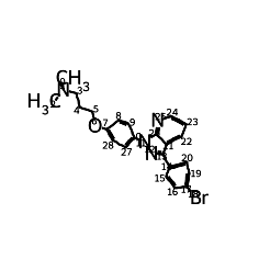 CN(C)CCCOc1ccc(-n2nc(-c3ccc(Br)cc3)c3cccnc32)cc1